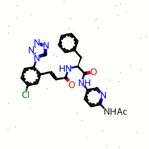 CC(=O)Nc1ccc(NC(=O)[C@H](Cc2ccccc2)NC(=O)/C=C/c2cc(Cl)ccc2-n2cnnn2)cn1